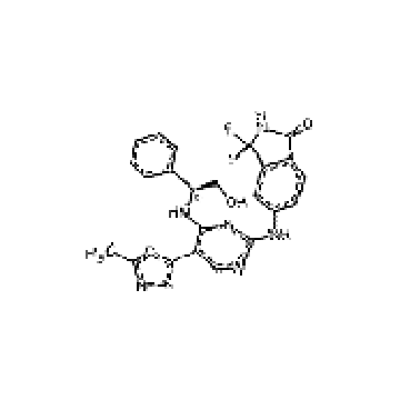 Cc1nnc(-c2cnc(Nc3ccc4c(c3)C(F)(F)NC4=O)nc2N[C@H](CO)c2ccccc2)o1